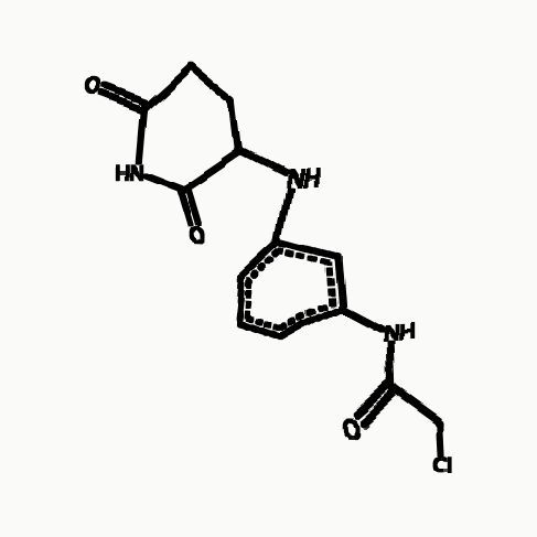 O=C1CCC(Nc2cccc(NC(=O)CCl)c2)C(=O)N1